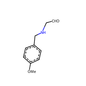 COc1ccc(CNC[C]=O)cc1